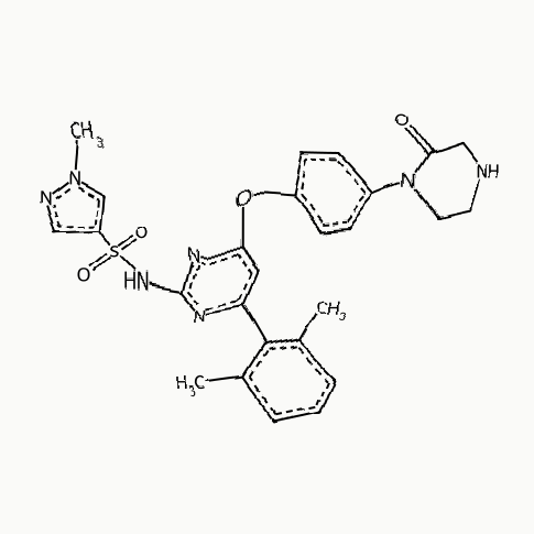 Cc1cccc(C)c1-c1cc(Oc2ccc(N3CCNCC3=O)cc2)nc(NS(=O)(=O)c2cnn(C)c2)n1